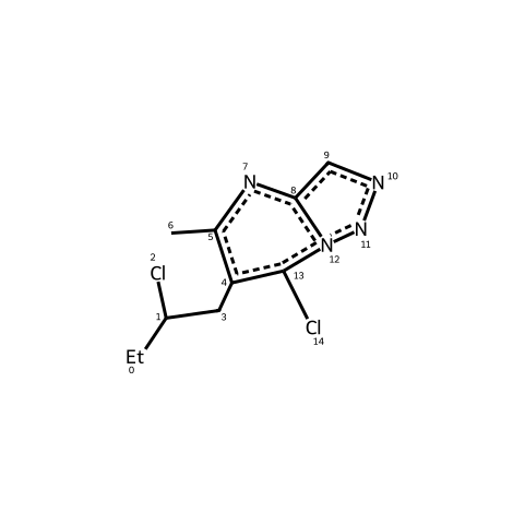 CCC(Cl)Cc1c(C)nc2cnnn2c1Cl